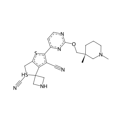 CN1CCC[C@@](C)(COc2nccc(-c3sc4c(c3C#N)C3(CNC3)[SH](C#N)C4)n2)C1